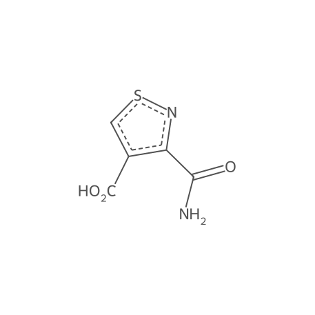 NC(=O)c1nscc1C(=O)O